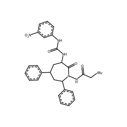 CC(C)(C)CC(=O)NN1C(=O)C(NC(=O)Nc2cccc([N+](=O)[O-])c2)CC(c2ccccc2)CC1c1ccccc1